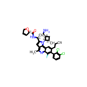 Cc1nc2c(F)c(-c3cccc(Cl)c3Cl)c(CCC#N)cc2c2c1cc([C@@H](C)NC(=O)[C@@H]1CCCO1)n2[C@H]1[C@@H](CN)C[C@@H]1C